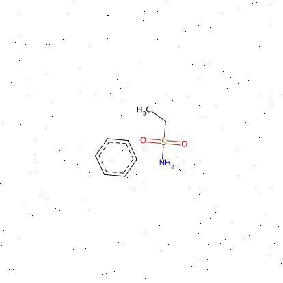 CCS(N)(=O)=O.c1ccccc1